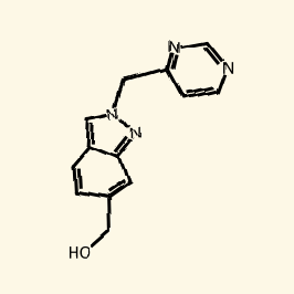 OCc1ccc2cn(Cc3ccncn3)nc2c1